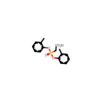 CCOC(=O)CP(=O)(Oc1ccccc1C)Oc1ccccc1C